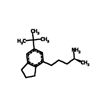 C[C@H](N)CCCc1cc(C(C)(C)C)cc2c1CCC2